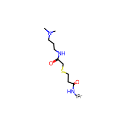 CC(C)NC(=O)CCSCC(=O)NCCCN(C)C